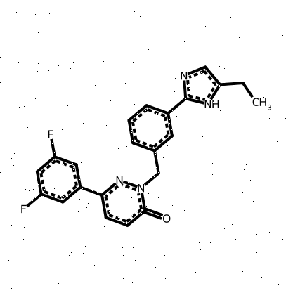 CCc1cnc(-c2cccc(Cn3nc(-c4cc(F)cc(F)c4)ccc3=O)c2)[nH]1